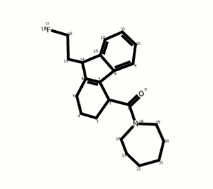 O=C(C1CCCC2=C1c1ccccc1C2CC[18F])N1CCCCCC1